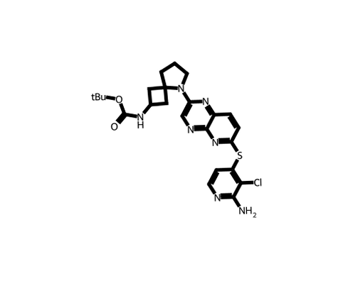 CC(C)(C)OC(=O)NC1CC2(CCCN2c2cnc3nc(Sc4ccnc(N)c4Cl)ccc3n2)C1